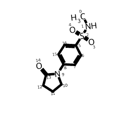 CNS(=O)(=O)c1ccc(N2CCCC2=O)cc1